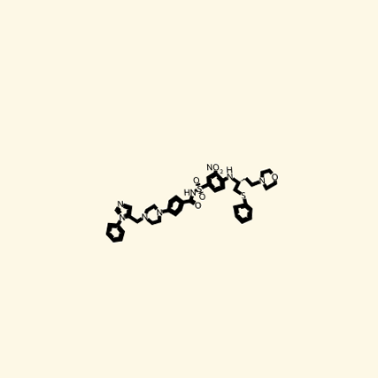 O=C(NS(=O)(=O)c1ccc(N[C@H](CCN2CCOCC2)CSc2ccccc2)c([N+](=O)[O-])c1)c1ccc(N2CCN(Cc3cncn3-c3ccccc3)CC2)cc1